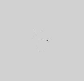 C=C=C.N.O=C1NCCO1